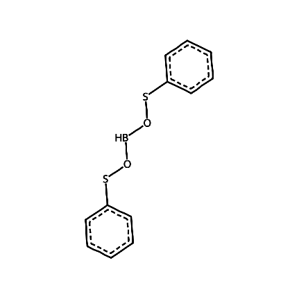 B(OSc1ccccc1)OSc1ccccc1